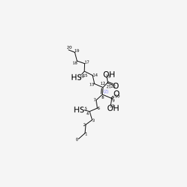 CCCCC(S)CC/C(C(=O)O)=C(\CCC(S)CCCC)C(=O)O